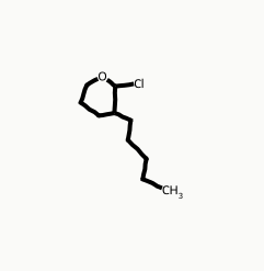 CCCCCC1CCCOC1Cl